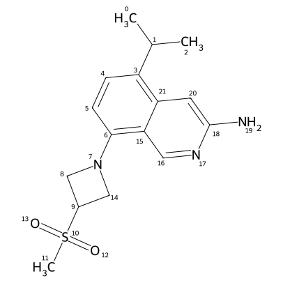 CC(C)c1ccc(N2CC(S(C)(=O)=O)C2)c2cnc(N)cc12